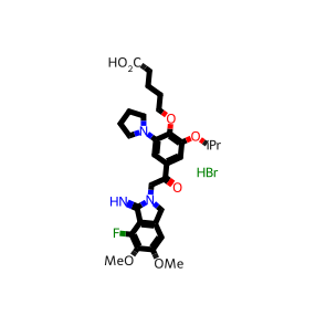 Br.COc1cc2c(c(F)c1OC)C(=N)N(CC(=O)c1cc(OC(C)C)c(OCCCCC(=O)O)c(N3CCCC3)c1)C2